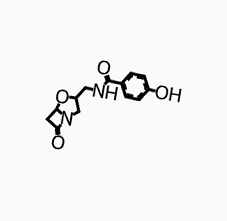 O=C(NCC1CN2C(=O)CC2O1)c1ccc(O)cc1